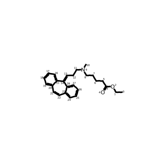 CCOC(=O)CCCCN(C)CCC=C1c2ccccc2C=Cc2ccccc21